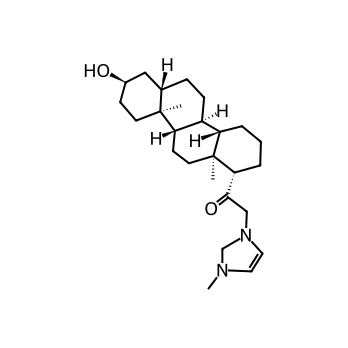 CN1C=CN(CC(=O)[C@H]2CCC[C@H]3[C@@H]4CC[C@H]5C[C@H](O)CC[C@]5(C)[C@H]4CC[C@]23C)C1